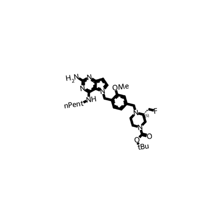 CCCCCNc1nc(N)nc2ccn(Cc3ccc(CN4CCN(C(=O)OC(C)(C)C)C[C@H]4CF)cc3OC)c12